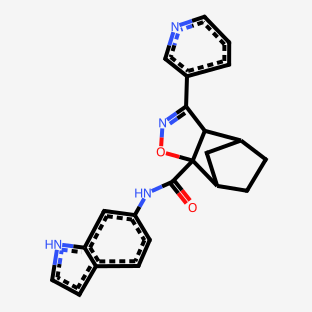 O=C(Nc1ccc2cc[nH]c2c1)C12ON=C(c3cccnc3)C1C1CCC2C1